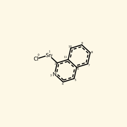 [Cl][Sn][c]1nccc2ccccc12